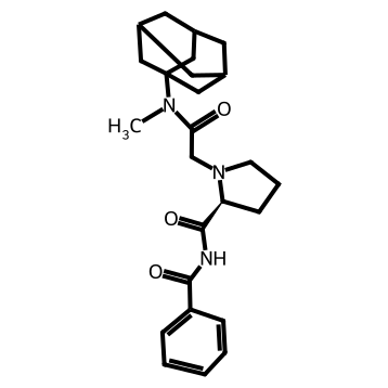 CN(C(=O)CN1CCC[C@H]1C(=O)NC(=O)c1ccccc1)C12CC3CC(CC(C3)C1)C2